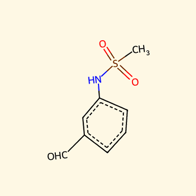 CS(=O)(=O)Nc1cccc(C=O)c1